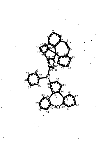 C1=Cc2ccccc2C2(c3ccccc31)c1ccccc1-c1cc(N(c3ccccc3)c3ccc4c(c3)-c3ccccc3Oc3ccccc3-4)ccc12